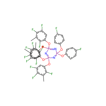 Cc1c(F)c(F)cc(OP2(Oc3cc(F)c(F)c(C)c3F)=NP(Oc3ccc(F)cc3)(Oc3ccc(F)cc3)=NP(Oc3cc(F)c(F)c(C)c3F)(Oc3cc(F)c(F)c(C)c3F)=N2)c1F